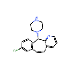 Clc1ccc2c(c1)C=Cc1cccnc1C2N1CCNCC1